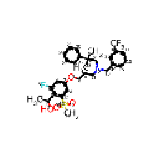 CC(O)c1c(F)cc(OCCCN(Cc2cccc(C(F)(F)F)c2)CC(C)(C)c2ccccc2)cc1S(C)(=O)=O